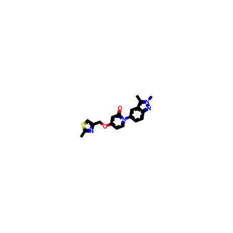 Cc1nc(COc2ccn(-c3ccc4nn(C)c(C)c4c3)c(=O)c2)cs1